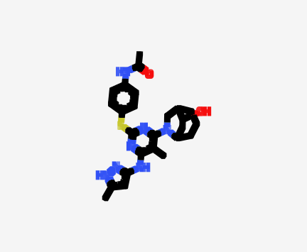 CC(=O)Nc1ccc(Sc2nc(Nc3cc(C)[nH]n3)c(C)c(N3CC4CCCC3CC4O)n2)cc1